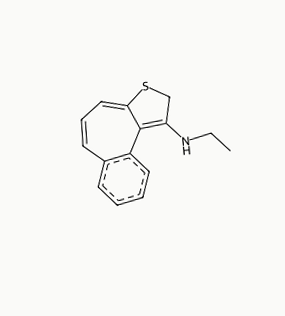 CCNC1=C2C(=CC=Cc3ccccc32)SC1